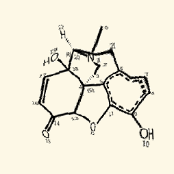 CN1CC[C@]23c4c5ccc(O)c4OC2C(=O)C=CC3(O)[C@H]1C5